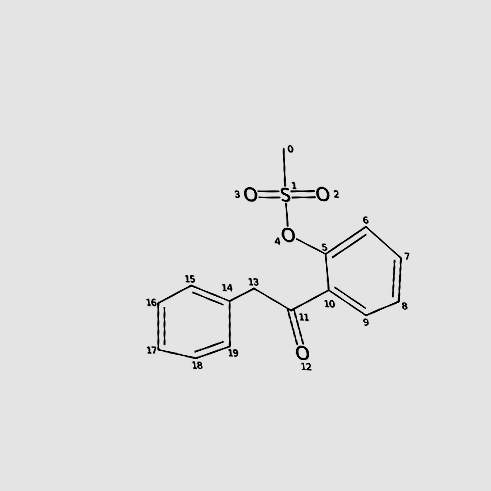 CS(=O)(=O)Oc1ccccc1C(=O)Cc1ccccc1